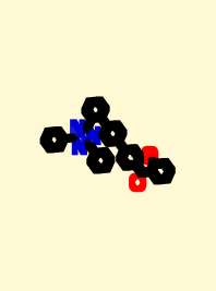 O=c1c2ccccc2oc2cc(-c3ccc(-c4ccccc4-c4nc(-c5ccccc5)nc(-c5ccccc5)n4)cc3)ccc12